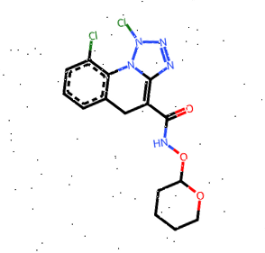 O=C(NOC1CCCCO1)C1=C2N=NN(Cl)N2c2c(Cl)cccc2C1